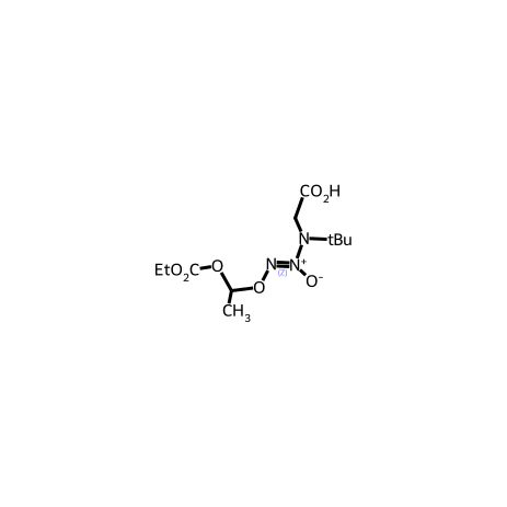 CCOC(=O)OC(C)O/N=[N+](\[O-])N(CC(=O)O)C(C)(C)C